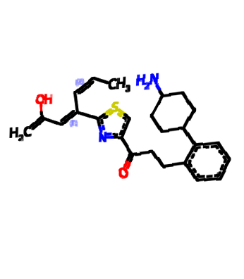 C=C(O)/C=C(\C=C/C)c1nc(C(=O)CCc2ccccc2C2CCC(N)CC2)cs1